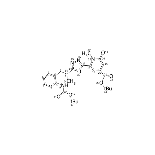 C[C@H](Cc1ccccc1NC(=O)OC(C)(C)C)c1nnc(-c2cc(C(=O)OC(C)(C)C)cc(=O)n2C)o1